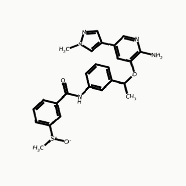 CC(Oc1cc(-c2cnn(C)c2)cnc1N)c1cccc(NC(=O)c2cccc([S+](C)[O-])c2)c1